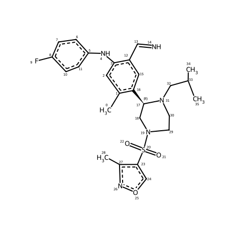 Cc1cc(Nc2ccc(F)cc2)c(C=N)cc1[C@@H]1CN(S(=O)(=O)c2conc2C)CCN1CC(C)C